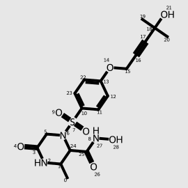 CC1NC(=O)CN(S(=O)(=O)c2ccc(OCC#CC(C)(C)O)cc2)C1C(=O)NO